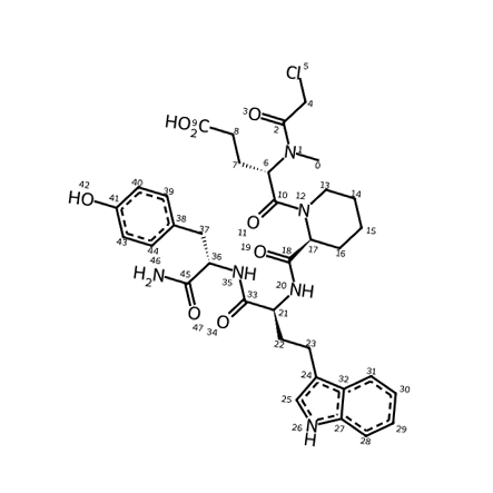 CN(C(=O)CCl)[C@@H](CCC(=O)O)C(=O)N1CCCC[C@H]1C(=O)N[C@@H](CCc1c[nH]c2ccccc12)C(=O)N[C@@H](Cc1ccc(O)cc1)C(N)=O